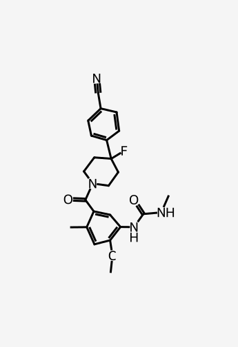 CCc1cc(C)c(C(=O)N2CCC(F)(c3ccc(C#N)cc3)CC2)cc1NC(=O)NC